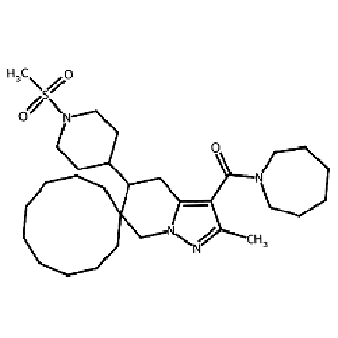 Cc1nn2c(c1C(=O)N1CCCCCC1)CC(C1CCN(S(C)(=O)=O)CC1)C1(CCCCCCCCC1)C2